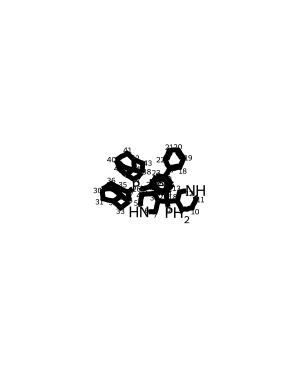 PC(C1CCCNC1)(C1CCCNC1)[C]12[CH]3[C]4(c5ccccc5)[CH]5[C]1(CP(C1C6CC7CC(C6)CC1C7)C1C6CC7CC(C6)CC1C7)[Fe]53421678[CH]2[CH]1[CH]6[CH]7[CH]28